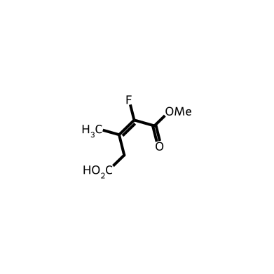 COC(=O)C(F)=C(C)CC(=O)O